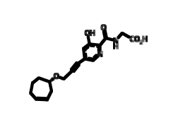 O=C(O)CNC(=O)c1ncc(C#CCO[C@H]2CC=CCCC2)cc1O